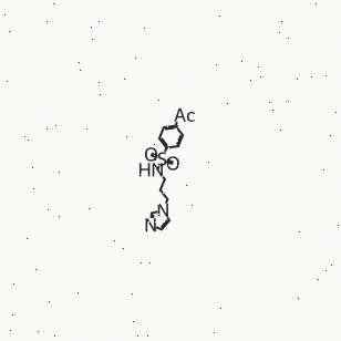 CC(=O)c1ccc(S(=O)(=O)NCCCn2ccnc2)cc1